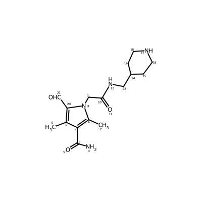 Cc1c(C(N)=O)c(C)n(CC(=O)NCC2CCNCC2)c1C=O